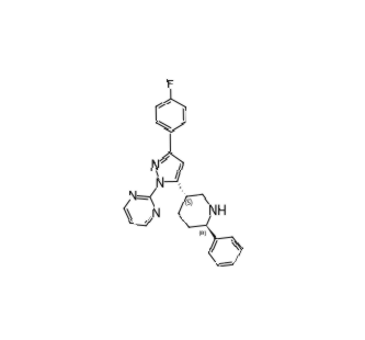 Fc1ccc(-c2cc([C@H]3CC[C@H](c4ccccc4)NC3)n(-c3ncccn3)n2)cc1